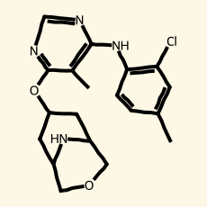 Cc1ccc(Nc2ncnc(OC3CC4COCC(C3)N4)c2C)c(Cl)c1